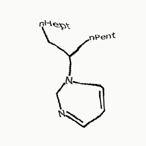 CCCCCCCCC(CCCCC)N1C=CC=NC1